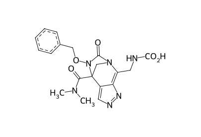 CN(C)C(=O)C12CN(C(=O)N1OCc1ccccc1)C(CNC(=O)O)=C1N=NC=C12